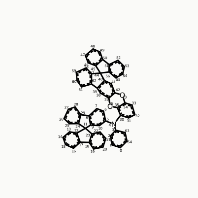 c1ccc(N(c2ccc3c(c2)C2(c4ccccc4-c4ccccc42)c2ccccc2-3)c2cccc3c2Oc2cc4c(cc2O3)C2(c3ccccc3-c3ccccc32)c2ccccc2-4)cc1